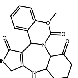 COc1ccccc1C1C2=C(CNC2=O)NC2CCCC(=O)C2N1C(C)=O